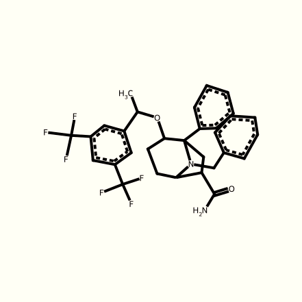 CC(OC1CCC2C(C(N)=O)CC1(c1ccccc1)N2Cc1ccccc1)c1cc(C(F)(F)F)cc(C(F)(F)F)c1